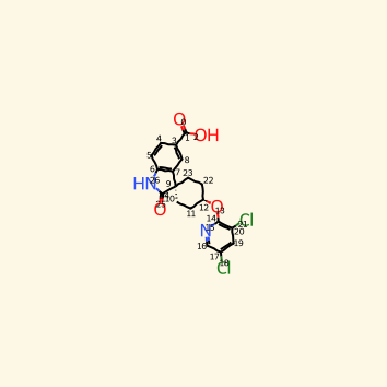 O=C(O)c1ccc2c(c1)[C@]1(CC[C@H](Oc3ncc(Cl)cc3Cl)CC1)C(=O)N2